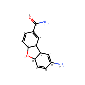 NC(=O)C1=CC2C(C=C1)OC1C=CC(N)=CC12